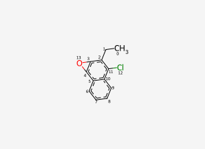 CCc1c2c(c3ccccc3c1Cl)O2